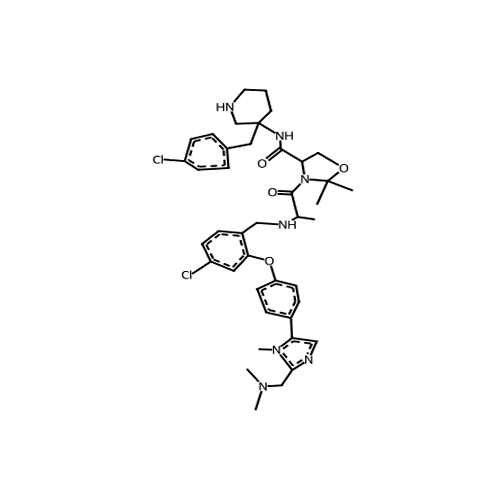 CC(NCc1ccc(Cl)cc1Oc1ccc(-c2cnc(CN(C)C)n2C)cc1)C(=O)N1C(C(=O)NC2(Cc3ccc(Cl)cc3)CCCNC2)COC1(C)C